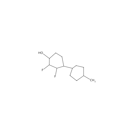 CC1CCC(C2CCC(O)C(F)C2F)CC1